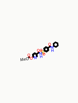 COC(=O)Oc1ccc(C(=O)NS(=O)(=O)c2ccc(C(=O)NC3CCCCC3)cc2)cn1